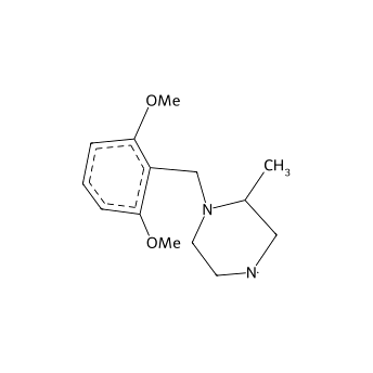 COc1cccc(OC)c1CN1CC[N]CC1C